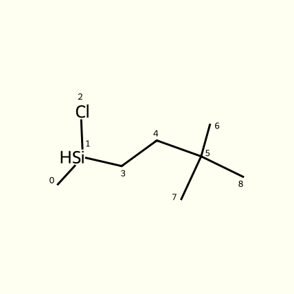 C[SiH](Cl)CCC(C)(C)C